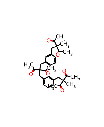 CC(=O)C(C)(Cc1cccc(CC(Cc2cccc(CC(C)(C(C)=O)C(C)=O)c2)(C(C)=O)C(C)=O)c1)C(C)=O